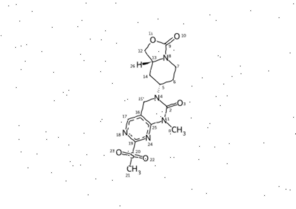 CN1C(=O)N([C@H]2CCN3C(=O)OC[C@H]3C2)Cc2cnc(S(C)(=O)=O)nc21